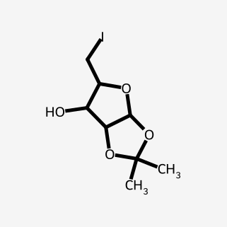 CC1(C)OC2OC(CI)C(O)C2O1